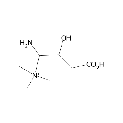 C[N+](C)(C)C(N)C(O)CC(=O)O